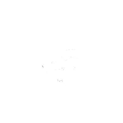 C[C@@H]1C[C@]1(N)C(=O)NS(=O)(=O)C1(C)CC1